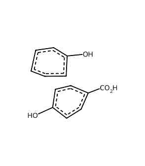 O=C(O)c1ccc(O)cc1.Oc1ccccc1